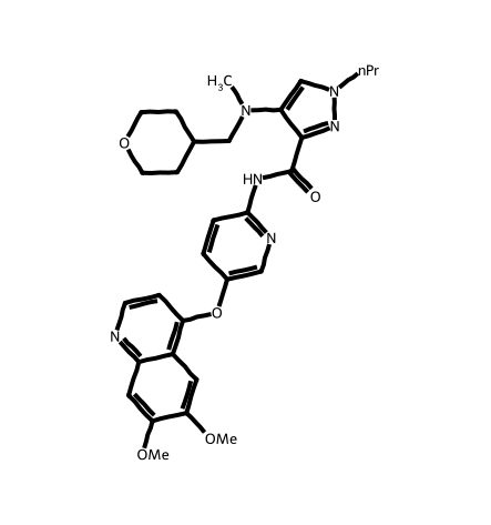 CCCn1cc(N(C)CC2CCOCC2)c(C(=O)Nc2ccc(Oc3ccnc4cc(OC)c(OC)cc34)cn2)n1